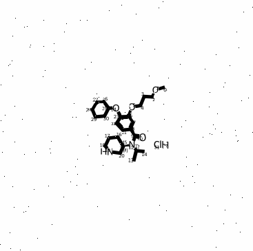 COCCCOc1cc(C(=O)N(C(C)C)[C@@H]2CCCNC2)ccc1OC1CCCCC1.Cl